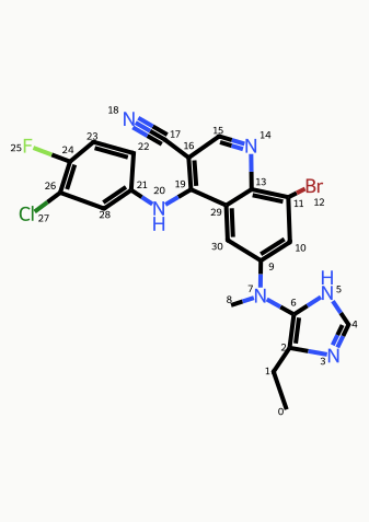 CCc1nc[nH]c1N(C)c1cc(Br)c2ncc(C#N)c(Nc3ccc(F)c(Cl)c3)c2c1